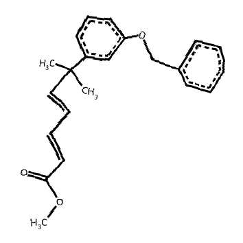 COC(=O)C=CC=CC(C)(C)c1cccc(OCc2ccccc2)c1